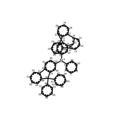 c1ccc(N(c2ccc3c(c2)-c2c4cccc2-c2cccc-3c2-c2ccccc2-4)c2ccc3c(c2)C(c2ccccc2)(c2ccccc2)c2ccccc2-3)cc1